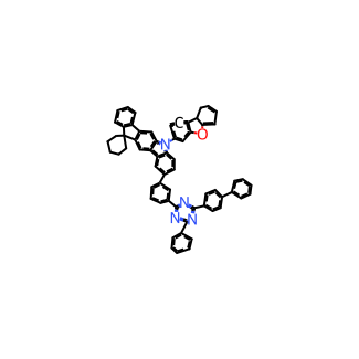 C1=CCC2C(=C1)Oc1cc(-n3c4ccc(-c5cccc(-c6nc(-c7ccccc7)nc(-c7ccc(-c8ccccc8)cc7)n6)c5)cc4c4cc5c(cc43)-c3ccccc3C53CCCCC3)ccc12